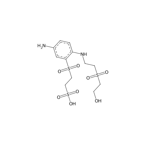 Nc1ccc(NCCS(=O)(=O)CCO)c(S(=O)(=O)CCS(=O)(=O)O)c1